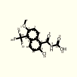 COc1ccc2c(C(=O)NC(=O)O)c(Cl)ccc2c1C(F)(F)F